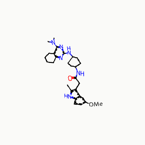 COc1ccc2[nH]c(C)c(CC(=O)NC3CCC(Nc4nc5c(c(N(C)C)n4)CCCC5)CC3)c2c1